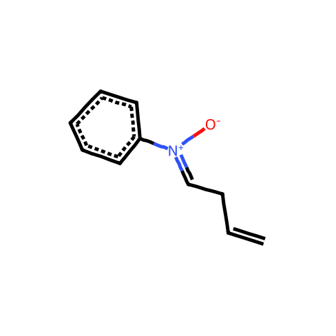 C=CCC=[N+]([O-])c1ccccc1